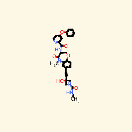 CCNC(=O)N1CC(O)(C#Cc2ccc3c(c2)N(C)C(=O)[C@H](NC(=O)c2cc(Oc4ccccc4)ccn2)CO3)C1